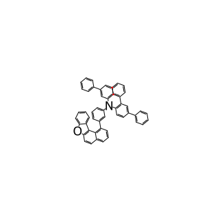 c1ccc(-c2cccc(N(c3cccc(-c4cccc5ccc6oc7ccccc7c6c45)c3)c3ccc(-c4ccccc4)cc3-c3ccccc3)c2)cc1